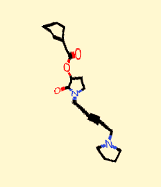 O=C(OC1CCN(CC#CCN2CCCC2)C1=O)C1CCCC1